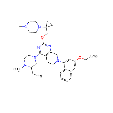 COCOc1cc(N2CCc3c(nc(OCC4(N5CCN(C)CC5)CC4)nc3N3CCN(C(=O)O)C(CC#N)C3)C2)c2ccccc2c1